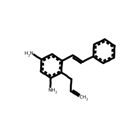 C=CCc1c(N)cc(N)cc1C=Cc1ccccc1